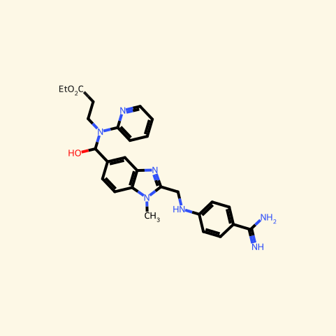 CCOC(=O)CCN(c1ccccn1)C(O)c1ccc2c(c1)nc(CNc1ccc(C(=N)N)cc1)n2C